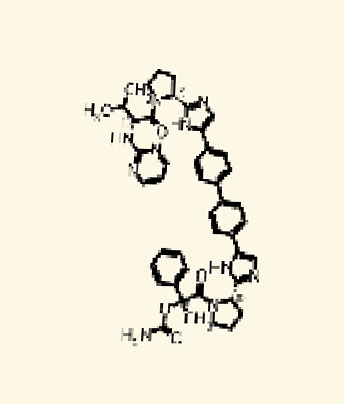 CC(C)[C@@H](Nc1ncccn1)C(=O)N1CCC[C@H]1c1ncc(-c2ccc(-c3ccc(-c4cnc([C@@H]5CCCN5C(=O)[C@](C)(OC(N)=O)c5ccccc5)[nH]4)cc3)cc2)[nH]1